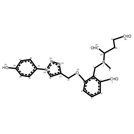 CN(Cc1c(C=O)cccc1OCc1cn(-c2ccc(O)cc2)nn1)C(C=O)CCC=O